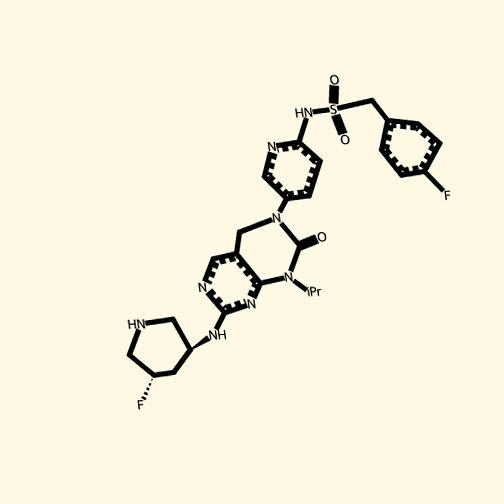 CC(C)N1C(=O)N(c2ccc(NS(=O)(=O)Cc3ccc(F)cc3)nc2)Cc2cnc(N[C@@H]3CNC[C@@H](F)C3)nc21